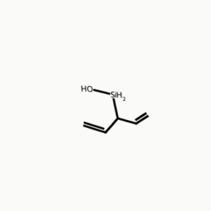 C=CC(C=C)[SiH2]O